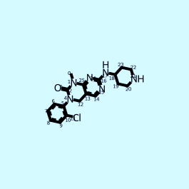 CN1C(=O)N(c2ccccc2Cl)Cc2cnc(NC3CCNCC3)nc21